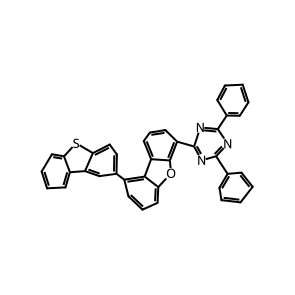 c1ccc(-c2nc(-c3ccccc3)nc(-c3cccc4c3oc3cccc(-c5ccc6sc7ccccc7c6c5)c34)n2)cc1